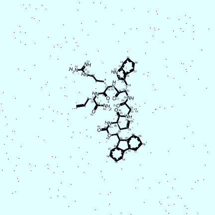 C=CC[C@H](NC(=O)[C@H](CCCNC(=N)N)NC(=O)[C@H](Cc1c[nH]c2ccccc12)NC(=O)[C@H](C)NC(=O)[C@@H](CC=C)NC(=O)OCC1c2ccccc2-c2ccccc21)C(N)=O